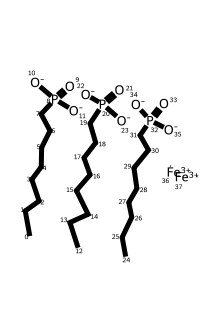 CCCCCCCCP(=O)([O-])[O-].CCCCCCCCP(=O)([O-])[O-].CCCCCCCCP(=O)([O-])[O-].[Fe+3].[Fe+3]